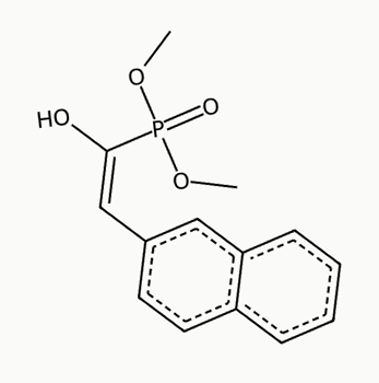 COP(=O)(OC)C(O)=Cc1ccc2ccccc2c1